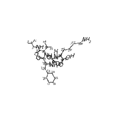 CC(C)CNC(=O)[C@@H](NC(=O)[C@H](CC1CCCCC1)NS(=O)(=O)N[C@@H](CCCCN)C(=O)O)C(C)C